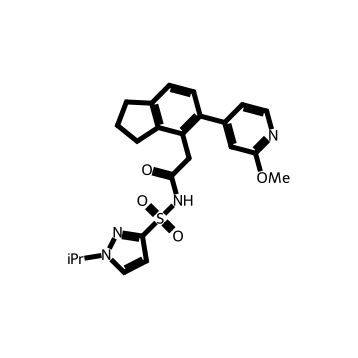 COc1cc(-c2ccc3c(c2CC(=O)NS(=O)(=O)c2ccn(C(C)C)n2)CCC3)ccn1